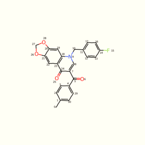 Cc1ccc(C(=O)c2cn(Cc3ccc(F)cc3)c3cc4c(cc3c2=O)OCO4)cc1